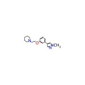 Cn1cc(-c2c[c]cc(OCCN3CCCCC3)c2)cn1